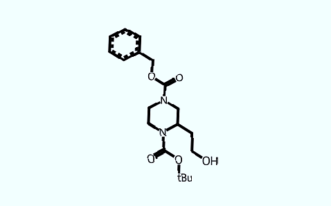 CC(C)(C)OC(=O)N1CCN(C(=O)OCc2ccccc2)CC1CCO